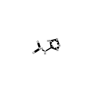 O=[SH](=O)Nc1nnn[nH]1